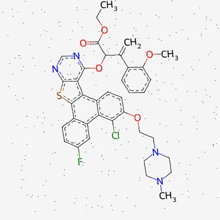 C=C(c1ccccc1OC)C(Oc1ncnc2sc3c4ccc(F)cc4c4c(Cl)c(OCCN5CCN(C)CC5)ccc4c3c12)C(=O)OCC